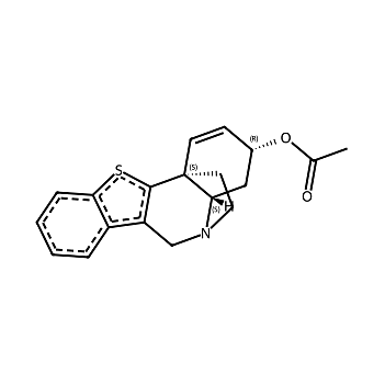 CC(=O)O[C@H]1C=C[C@]23CCN(Cc4c2sc2ccccc42)[C@H]3C1